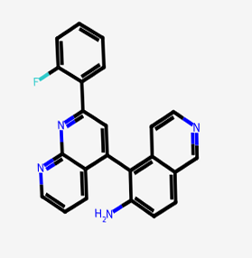 Nc1ccc2cnccc2c1-c1cc(-c2ccccc2F)nc2ncccc12